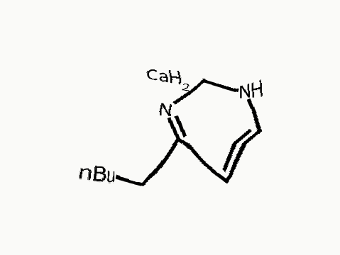 CCCCCC1=NCNC=C1.[CaH2]